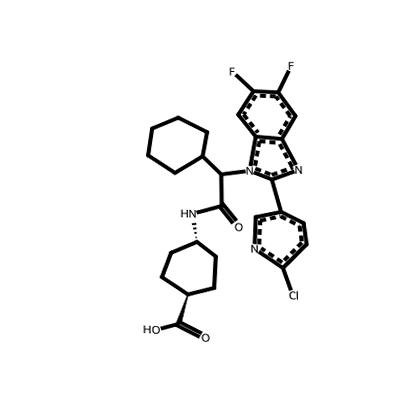 O=C(N[C@H]1CC[C@H](C(=O)O)CC1)C(C1CCCCC1)n1c(-c2ccc(Cl)nc2)nc2cc(F)c(F)cc21